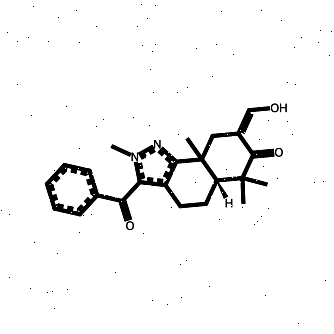 Cn1nc2c(c1C(=O)c1ccccc1)CC[C@H]1C(C)(C)C(=O)/C(=C\O)CC21C